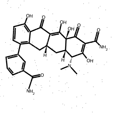 CN(C)[C@H]1C(O)=C(C(N)=O)C(=O)[C@@]2(O)C(O)=C3C(=O)c4c(O)ccc(-c5cccc(C(N)=O)c5)c4C[C@H]3C[C@@H]12